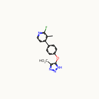 Cc1c(-c2ccc(Oc3[nH]nnc3C(=O)O)cc2)ccnc1F